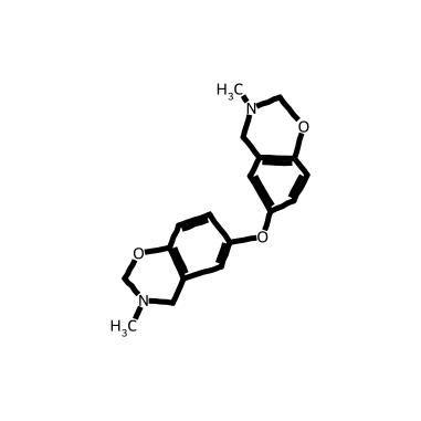 CN1COc2ccc(Oc3ccc4c(c3)CN(C)CO4)cc2C1